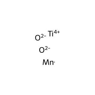 [Mn].[O-2].[O-2].[Ti+4]